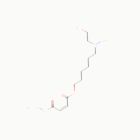 CCCCCCCCN(CCO)CCCCCCOC(=O)/C=C\C(=O)OCCCCCC